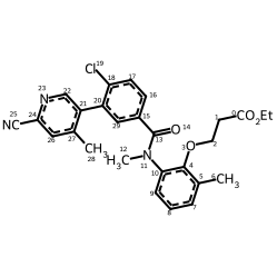 CCOC(=O)CCOc1c(C)cccc1N(C)C(=O)c1ccc(Cl)c(-c2cnc(C#N)cc2C)c1